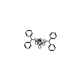 [O]=[Cr](=[O])([O][SiH2]C(c1ccccc1)c1ccccc1)[O][SiH2]C(c1ccccc1)c1ccccc1